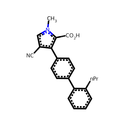 CCCc1ccccc1-c1ccc(-c2c(C#N)cn(C)c2C(=O)O)cc1